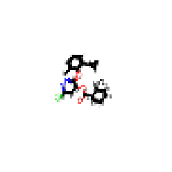 Cc1cccc(C2CC2)c1Oc1nnc(Cl)cc1OC(=O)c1ccccc1[N+](=O)[O-]